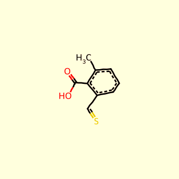 Cc1cccc(C=S)c1C(=O)O